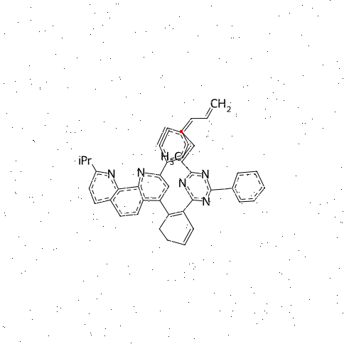 C=C/C=C\C=C(/C)c1nc(C2=C(c3cc(-c4c#cccc4)nc4c3ccc3ccc(C(C)C)nc34)CCC=C2)nc(-c2ccccc2)n1